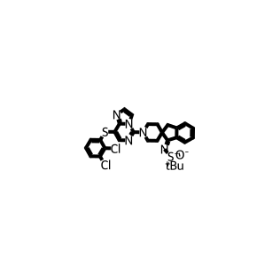 CC(C)(C)[S@@+]([O-])/N=C1\c2ccccc2CC12CCN(c1ncc(Sc3cccc(Cl)c3Cl)c3nccn13)CC2